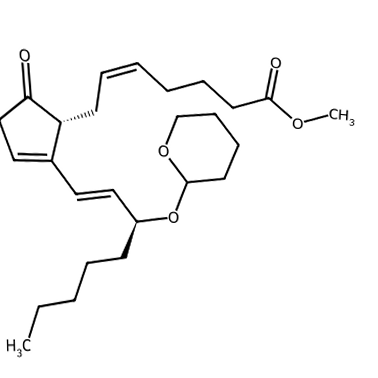 CCCCC[C@@H](/C=C/C1=CCC(=O)[C@@H]1C/C=C\CCCC(=O)OC)OC1CCCCO1